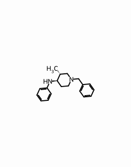 C[C@@H]1CN(Cc2ccccc2)CC[C@H]1Nc1ccccc1